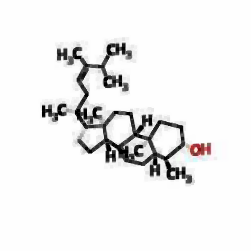 CC(=CC[C@@H](C)[C@H]1CC[C@H]2C3=CC[C@H]4[C@H](C)[C@@H](O)CC[C@]4(C)[C@H]3CC[C@]12C)C(C)C